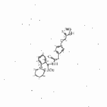 CCCCC(NC(=O)Cc1ccc(OCc2nnn[nH]2)cc1)c1ccccc1N1CCCCC1